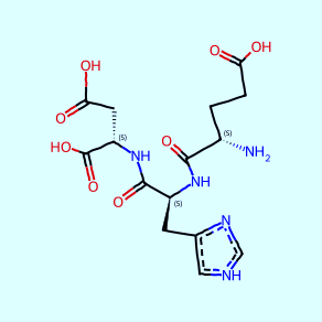 N[C@@H](CCC(=O)O)C(=O)N[C@@H](Cc1c[nH]cn1)C(=O)N[C@@H](CC(=O)O)C(=O)O